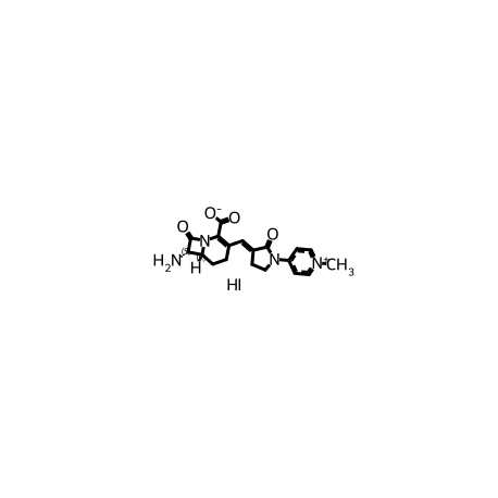 C[n+]1ccc(N2CCC(=CC3=C(C(=O)[O-])N4C(=O)[C@@H](N)[C@H]4CC3)C2=O)cc1.I